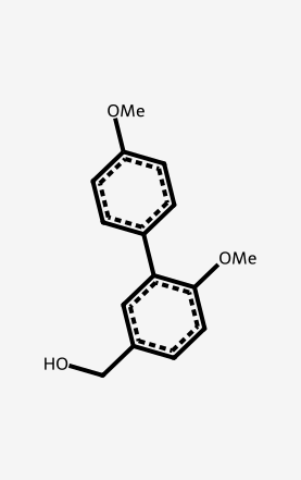 COc1ccc(-c2cc(CO)ccc2OC)cc1